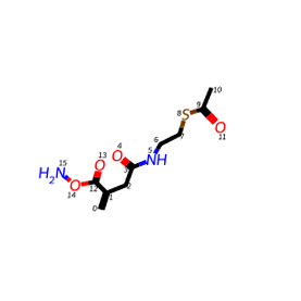 C=C(CC(=O)NCCSC(C)=O)C(=O)ON